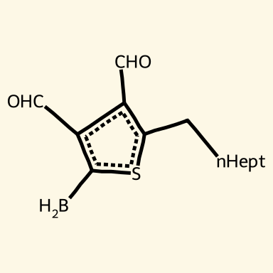 Bc1sc(CCCCCCCC)c(C=O)c1C=O